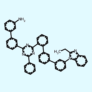 CCc1nc2ccccc2n1-c1cccc(-c2cccc(-c3ccccc3-c3nc(-c4ccccc4)nc(-c4cccc(-c5cccc(N)c5)c4)n3)c2)c1